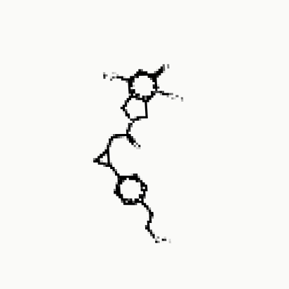 COCCc1ccc(C2CC2CC(=O)N2Cc3c(C)cc(=O)n(C)c3C2)cc1